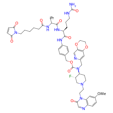 COc1ccc2ncc(=O)n(CCN3CC[C@H](N(Cc4cc5c(cn4)OCCO5)C(=O)OCc4ccc(NC(=O)[C@H](CCCNC(N)=O)NC(=O)C(NC(=O)CCCCCN5C(=O)C=CC5=O)C(C)C)cc4)[C@@H](F)C3)c2c1